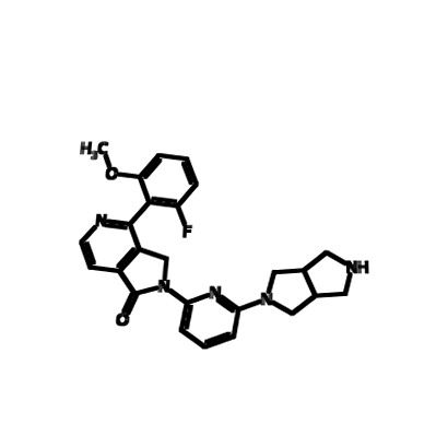 COc1cccc(F)c1-c1nccc2c1CN(c1cccc(N3CC4CNCC4C3)n1)C2=O